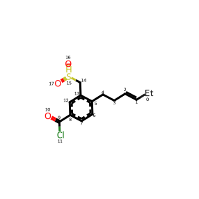 CCC=CCCc1ccc(C(=O)Cl)cc1C[SH](=O)=O